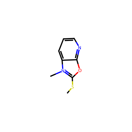 CSc1oc2ncccc2[n+]1C